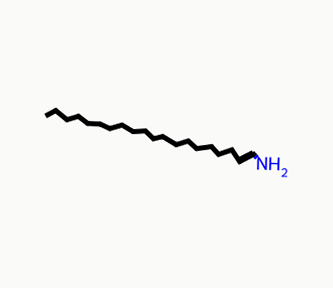 CCCCCCCCCCCCCCCCCCC=CN